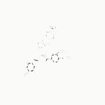 COc1ccc(C(=O)N(C/C(C)=C/c2ccc(F)cc2F)C[C@@H]2CCCN2C[C@H]2CC[C@H](N)CC2)cc1OC